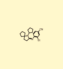 CCc1cc(C#N)ccc1/N=C1/CCC2(CCCC2)N1C1CCCC1